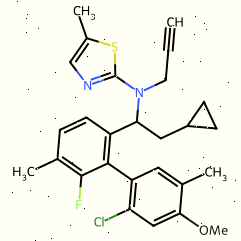 C#CCN(c1ncc(C)s1)C(CC1CC1)c1ccc(C)c(F)c1-c1cc(C)c(OC)cc1Cl